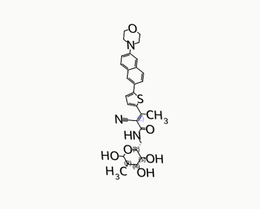 C/C(=C(/C#N)C(=O)NC[C@H]1OC(O)[C@H](C)[C@@H](O)[C@@H]1O)c1ccc(-c2ccc3cc(N4CCOCC4)ccc3c2)s1